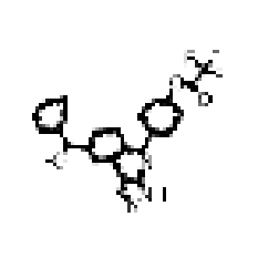 COC(c1ccccc1)c1ccc2c(-c3ccc(OC(=O)C(F)(F)F)cc3)nc3[nH]ncc3c2c1